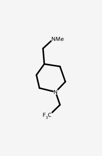 CNCC1CCN(CC(F)(F)F)CC1